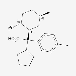 Cc1ccc(C(C(=O)O)(C2CCCC2)[C@@H]2C[C@H](C)CC[C@H]2C(C)C)cc1